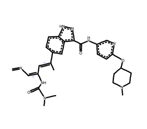 C=N/C=C(\C=C(/C)c1ccc2[nH]nc(C(=O)Nc3ccc(OC4CCN(C)CC4)nc3)c2c1)NC(=O)N(C)C